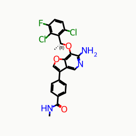 CNC(=O)c1ccc(-c2coc3c(O[C@H](C)c4c(Cl)ccc(F)c4Cl)c(N)ncc23)cc1